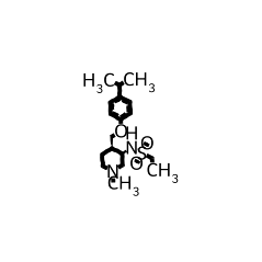 CCS(=O)(=O)N[C@H]1CN(C)CC[C@H]1COc1ccc(C(C)C)cc1